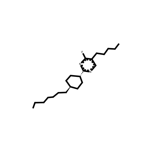 CCCCCCC[C@H]1CC[C@H](c2ncc(CCCCC)c(F)n2)CC1